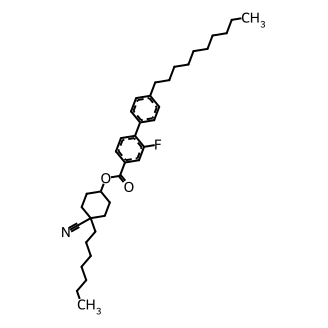 CCCCCCCCCCc1ccc(-c2ccc(C(=O)OC3CCC(C#N)(CCCCCCC)CC3)cc2F)cc1